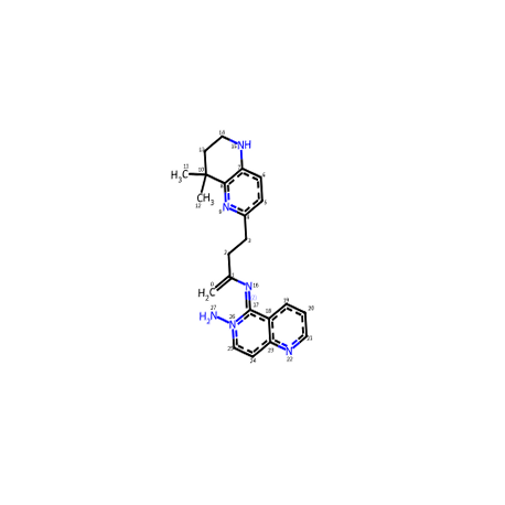 C=C(CCc1ccc2c(n1)C(C)(C)CCN2)/N=c1/c2cccnc2ccn1N